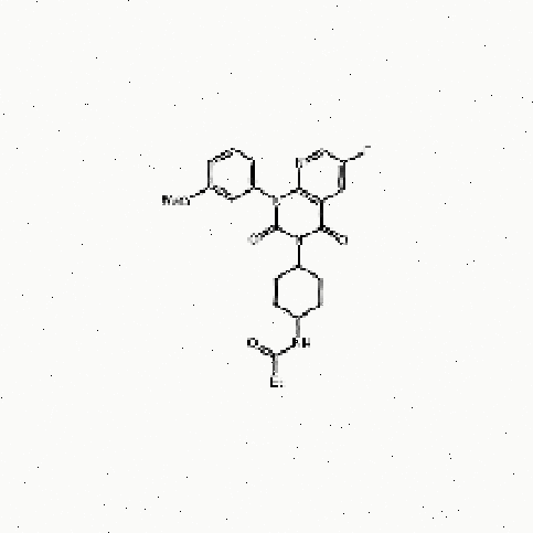 CCC(=O)NC1CCC(n2c(=O)c3cc(F)cnc3n(-c3cccc(SC)c3)c2=O)CC1